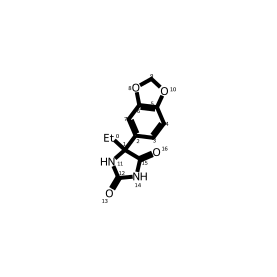 CCC1(c2ccc3c(c2)OCO3)NC(=O)NC1=O